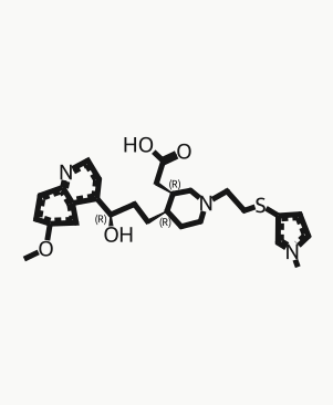 COc1ccc2nccc([C@H](O)CC[C@@H]3CCN(CCSc4ccn(C)c4)C[C@@H]3CC(=O)O)c2c1